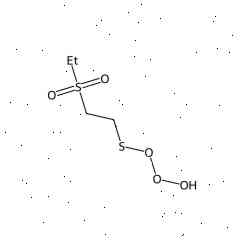 CCS(=O)(=O)CCSOOO